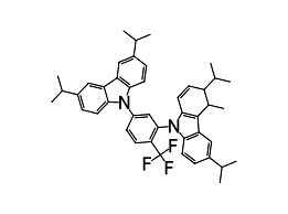 CC(C)c1ccc2c(c1)c1c(n2-c2cc(-n3c4ccc(C(C)C)cc4c4cc(C(C)C)ccc43)ccc2C(F)(F)F)C=CC(C(C)C)C1C